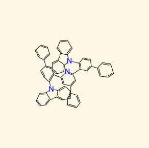 c1ccc(-c2cc(-c3cc(-c4ccccc4)ccc3-n3c4ccccc4c4ccccc43)nc(-c3cc(-c4ccccc4)ccc3-n3c4ccccc4c4ccccc43)c2)cc1